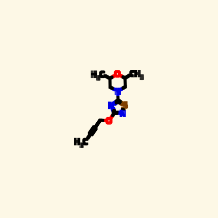 CC#CCOc1nsc(N2CC(C)OC(C)C2)n1